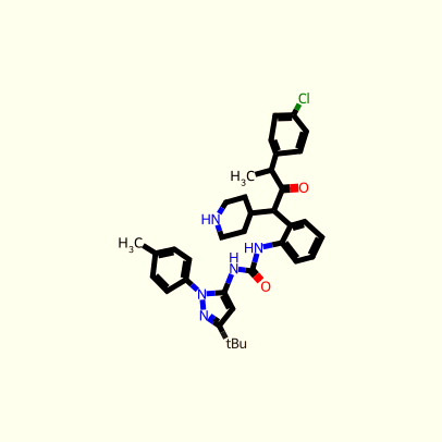 Cc1ccc(-n2nc(C(C)(C)C)cc2NC(=O)Nc2ccccc2C(C(=O)C(C)c2ccc(Cl)cc2)C2CCNCC2)cc1